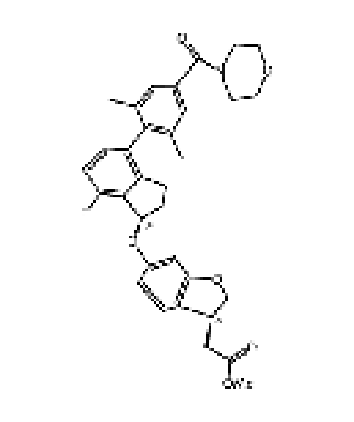 COC(=O)C[C@@H]1COc2cc(O[C@@H]3CCc4c(-c5c(C)cc(C(=O)N6CCOCC6)cc5C)ccc(F)c43)ccc21